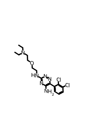 CCN(CC)CCOCCNc1nnc(-c2cccc(Cl)c2Cl)c(N)n1